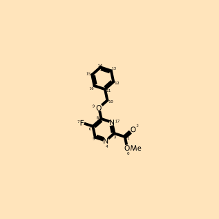 COC(=O)c1ncc(F)c(OCc2ccccc2)n1